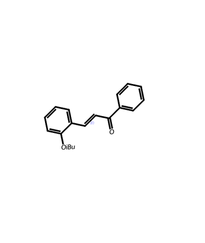 CC(C)COc1ccccc1/C=C/C(=O)c1ccccc1